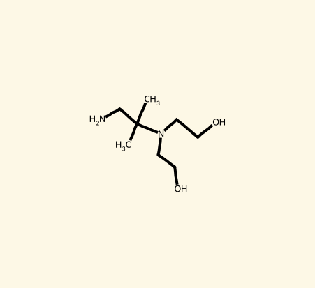 CC(C)(CN)N(CCO)CCO